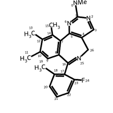 CNc1ncc2c(n1)-c1c(cc(C)c(C)c1C)C(c1c(C)cccc1F)=NC2